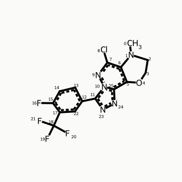 CN1CCOc2c1c(Cl)nn1c(-c3ccc(F)c(C(F)(F)F)c3)nnc21